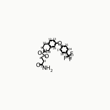 NC(=O)CCS(=O)(=O)N1CCc2ccc(Oc3ccc(C(F)(F)F)cc3)cc2C1